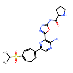 CC(C)S(=O)(=O)C1=CCC=C(c2cnc(N)c(-c3nnc(NC(=O)C4CCCN4)o3)n2)C=C1